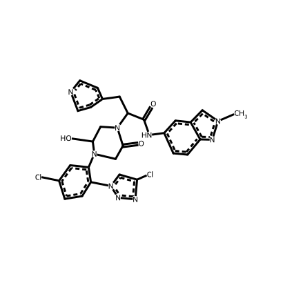 Cn1cc2cc(NC(=O)C(Cc3ccncc3)N3CC(O)N(c4cc(Cl)ccc4-n4cc(Cl)nn4)CC3=O)ccc2n1